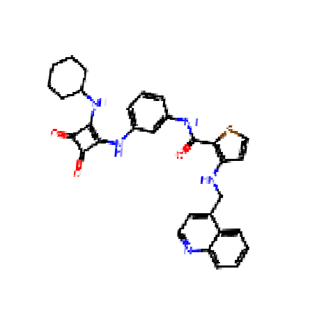 O=C(Nc1cccc(Nc2c(NC3CCCCC3)c(=O)c2=O)c1)c1sccc1NCc1ccnc2ccccc12